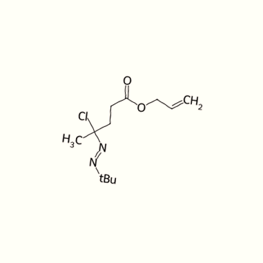 C=CCOC(=O)CCC(C)(Cl)N=NC(C)(C)C